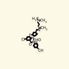 C#Cc1ccc(NC(=O)c2cc(Cl)ccc2N(C=O)c2ccc(C=NN(C)CCCN(C)C)cc2F)cc1